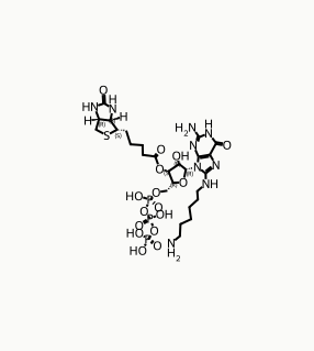 NCCCCCCNc1nc2c(=O)[nH]c(N)nc2n1[C@@H]1O[C@H](COP(=O)(O)OP(=O)(O)OP(=O)(O)O)[C@@H](OC(=O)CCCC[C@@H]2SC[C@@H]3NC(=O)N[C@@H]32)[C@H]1O